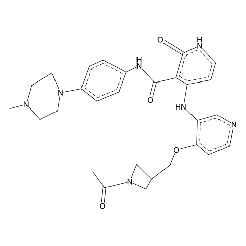 CC(=O)N1CC(COc2ccncc2Nc2cc[nH]c(=O)c2C(=O)Nc2ccc(N3CCN(C)CC3)cc2)C1